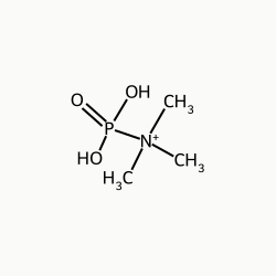 C[N+](C)(C)P(=O)(O)O